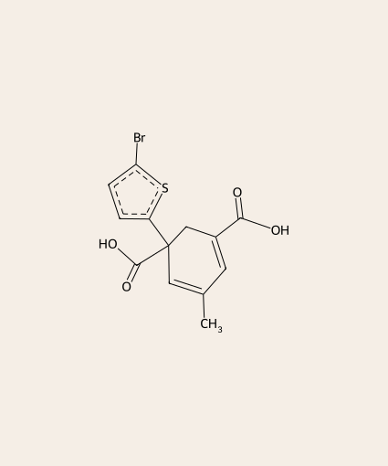 CC1=CC(C(=O)O)(c2ccc(Br)s2)CC(C(=O)O)=C1